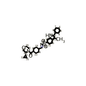 Cc1c(-c2ccccc2)[nH]c2cc(S(=O)(=O)/N=C/C3CCC(C(=O)N4CCOC[C@@H]4C4CC4)CC3)ccc12